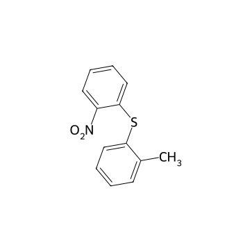 Cc1ccccc1Sc1ccccc1[N+](=O)[O-]